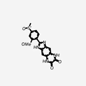 COc1cc([S+](C)[O-])ccc1-c1nc2cc3[nH]c(=O)c(=O)[nH]c3cc2[nH]1